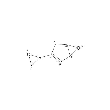 C1=C(C2CO2)CC2OC12